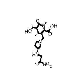 C[C@@H](O)C1C(=O)N(C)C(C(=O)O)=C(CN2CC[C@H](NCC(N)=O)C2)[C@@H]1C